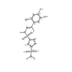 C/C(=N\N(C)S(=O)(=O)c1ncn(S(=O)(=O)N(C)C)n1)c1cc(F)c(F)cc1Cl